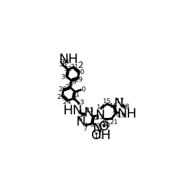 Cc1c(CNc2ncc([N+](=O)O)c(N3CCc4nc[nH]c4CC3)n2)cccc1-c1cccc(CN)c1